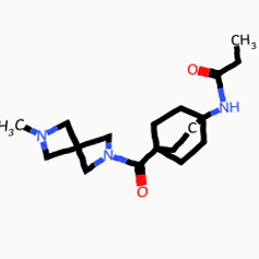 CCC(=O)NC12CCC(C(=O)N3CC4(CN(C)C4)C3)(CC1)CC2